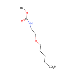 CC(C)(C)OC(=O)NCCOCCCCC(=O)O